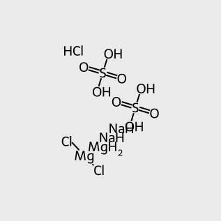 Cl.O=S(=O)(O)O.O=S(=O)(O)O.[Cl][Mg][Cl].[MgH2].[NaH].[NaH]